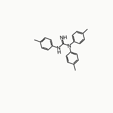 Cc1ccc(NC(=N)N(c2ccc(C)cc2)c2ccc(C)cc2)cc1